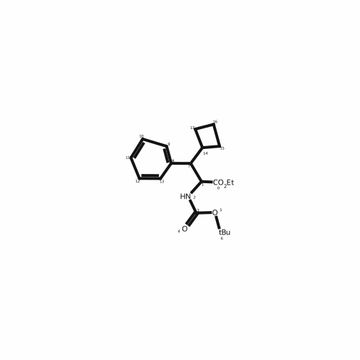 CCOC(=O)C(NC(=O)OC(C)(C)C)C(c1ccccc1)C1CCC1